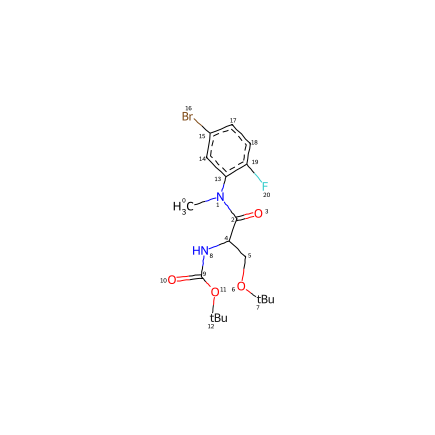 CN(C(=O)C(COC(C)(C)C)NC(=O)OC(C)(C)C)c1cc(Br)ccc1F